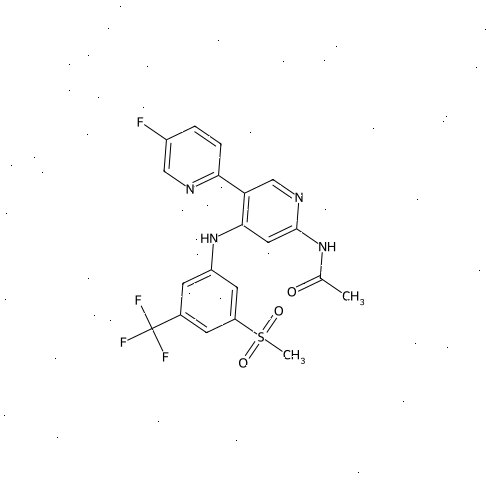 CC(=O)Nc1cc(Nc2cc(C(F)(F)F)cc(S(C)(=O)=O)c2)c(-c2ccc(F)cn2)cn1